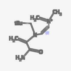 C=C(C(N)=O)N(/C=C\[N+](=C)C)CC(C)(C)C